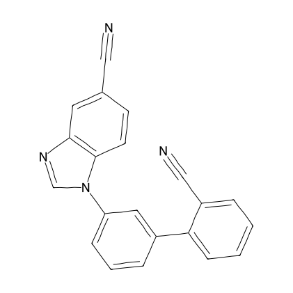 N#Cc1ccc2c(c1)ncn2-c1cccc(-c2ccccc2C#N)c1